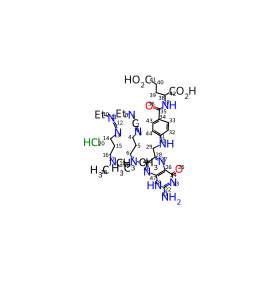 CCN=C=NCCCN(C)C.CCN=C=NCCCN(C)C.Cl.Nc1nc(=O)c2nc(CNc3ccc(C(=O)N[C@@H](CCC(=O)O)C(=O)O)cc3)cnc2[nH]1